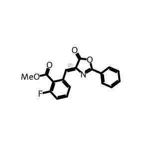 COC(=O)c1c(F)cccc1/C=C1\N=C(c2ccccc2)OC1=O